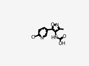 Cc1noc(-c2ccc(Cl)nc2)c1NC(=O)O